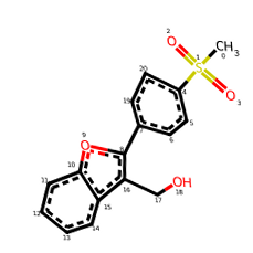 CS(=O)(=O)c1ccc(-c2oc3ccccc3c2CO)cc1